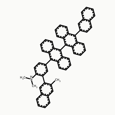 Cc1cc2ccccc2cc1-c1cc(-c2c3ccccc3c(-c3c4ccccc4c(-c4ccc5ccccc5c4)c4ccccc34)c3ccccc23)ccc1[SiH](C)C